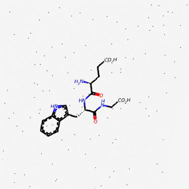 N[C@@H](CCC(=O)O)C(=O)N[C@@H](Cc1c[nH]c2ccccc12)C(=O)NCC(=O)O